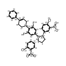 O=[N+]([O-])c1cc([C@H]2CC[C@H](c3ccc(Cl)c([N+](=O)[O-])c3)N2c2cc(F)c(N3CC=C(c4ccccc4)CC3)c(F)c2)ccc1Cl